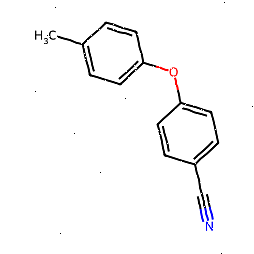 Cc1ccc(Oc2ccc(C#N)cc2)cc1